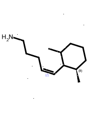 CC1CCC[C@@H](C)C1/C=C\CCCN